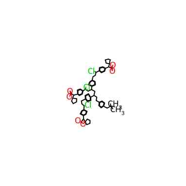 CC(C)Cc1ccc(CCC(CC(CC(Cl)c2ccc(C3C(=O)OC34CCCC4)cc2)c2ccc(CCC(Cl)c3ccc(C4C(=O)OC45CCCC5)cc3)cc2)c2ccc(CCC(Cl)c3ccc(C4C(=O)OC45CCCC5)cc3)cc2)cc1